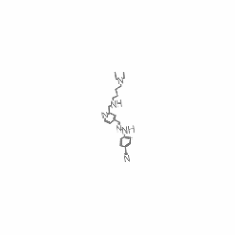 CCN(CC)CCCCNCc1cc(C=NNc2ccc(C#N)cc2)ccn1